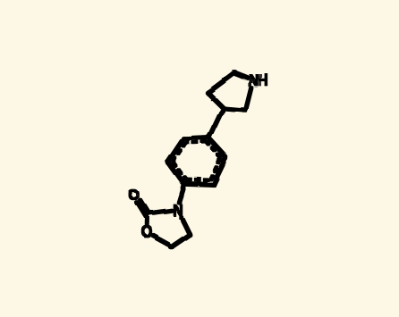 O=C1OCCN1c1ccc(C2CCNC2)cc1